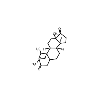 COC[C@]12C(C)CC(=O)CC1CC[C@@H]1[C@H]2CC[C@]2(C)C(=O)CC[C@@H]12